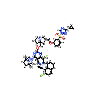 C#Cc1c(F)ccc2cccc(-c3ncc4c(N5C[C@H]6CC[C@@H](C5)N6)nc(OCC56CCCN5CC(COc5cccc(S(=O)(=O)n7cnc(C8CC8)n7)c5)C6)nc4c3F)c12